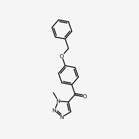 Cn1nncc1C(=O)c1ccc(OCc2ccccc2)cc1